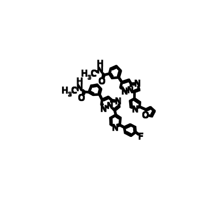 CNC(=O)c1cccc(-c2cnn3c(-c4ccnc(-c5ccc(F)cc5)c4)cnc3c2)c1.CNC(=O)c1cccc(-c2cnn3c(-c4ccnc(-c5ccco5)c4)cnc3c2)c1